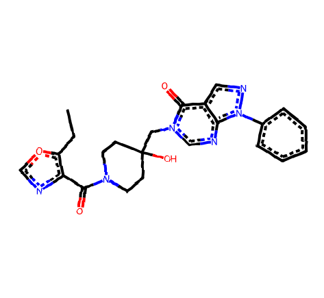 CCc1ocnc1C(=O)N1CCC(O)(Cn2cnc3c(cnn3-c3ccccc3)c2=O)CC1